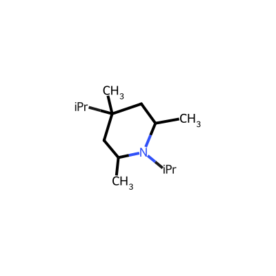 CC(C)N1C(C)CC(C)(C(C)C)CC1C